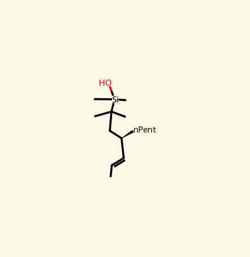 C/C=C/[C@H](CCCCC)CC(C)(C)[Si](C)(C)O